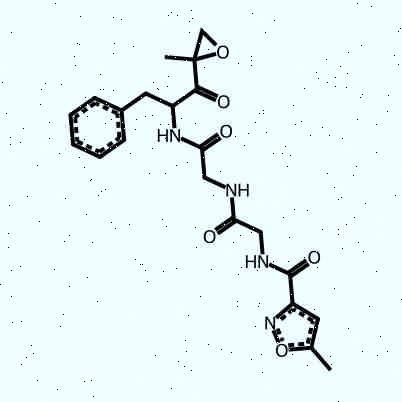 Cc1cc(C(=O)NCC(=O)NCC(=O)NC(Cc2ccccc2)C(=O)C2(C)CO2)no1